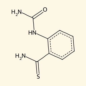 NC(=O)Nc1ccccc1C(N)=S